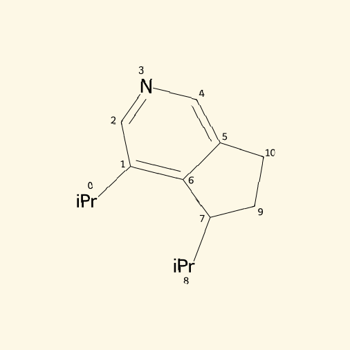 CC(C)c1cncc2c1C(C(C)C)CC2